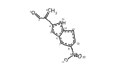 C=C(C=O)c1cc2cc([N+](=O)[O-])ccc2[nH]1